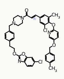 Cc1ccc(COc2ccc(Oc3c(C)cc(/C=C/C(=O)N4CCN(Cc5ccc(CCOc6nc7ccc(Cl)cc7o6)cc5)CC4)cc3Cl)nc2)cc1